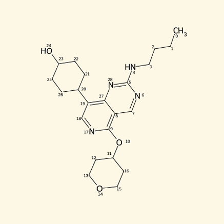 CCCCNc1ncc2c(OC3CCOCC3)ncc(C3CCC(O)CC3)c2n1